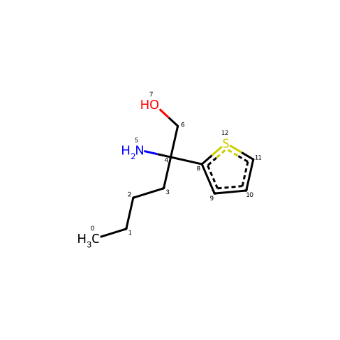 CCCCC(N)(CO)c1cccs1